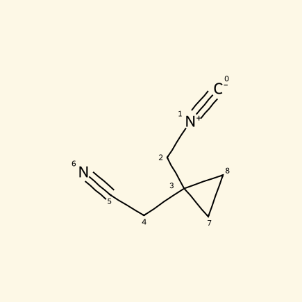 [C-]#[N+]CC1(CC#N)CC1